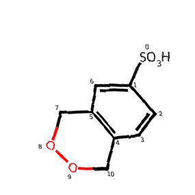 O=S(=O)(O)c1ccc2c(c1)COOC2